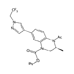 CC(=O)N1c2ccc(-c3cnn(CC(F)(F)F)c3)cc2N(C(=O)OC(C)C)C[C@@H]1C